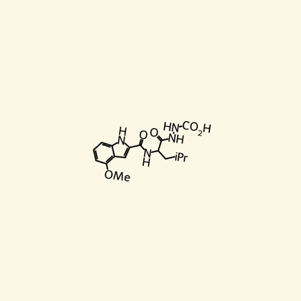 COc1cccc2[nH]c(C(=O)NC(CC(C)C)C(=O)NNC(=O)O)cc12